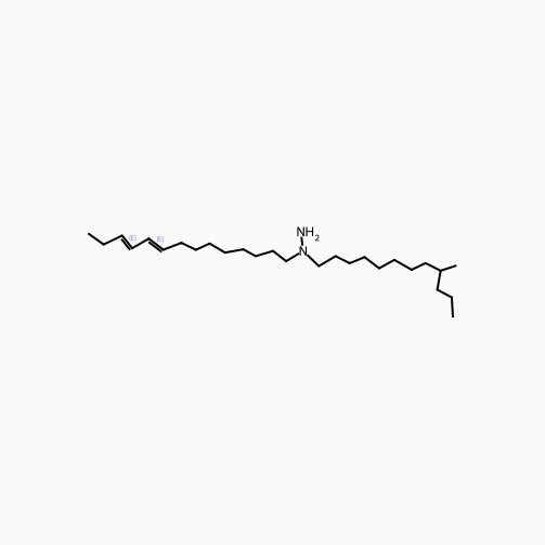 CC/C=C/C=C/CCCCCCCCN(N)CCCCCCCCC(C)CCC